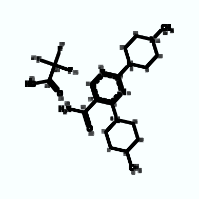 CC1CCN(c2nc(N3CCN(C)CC3)ncc2C(N)=O)CC1.O=C(O)C(F)(F)F